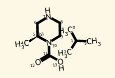 CC(C)C.C[C@H]1CNCCN1C(=O)O